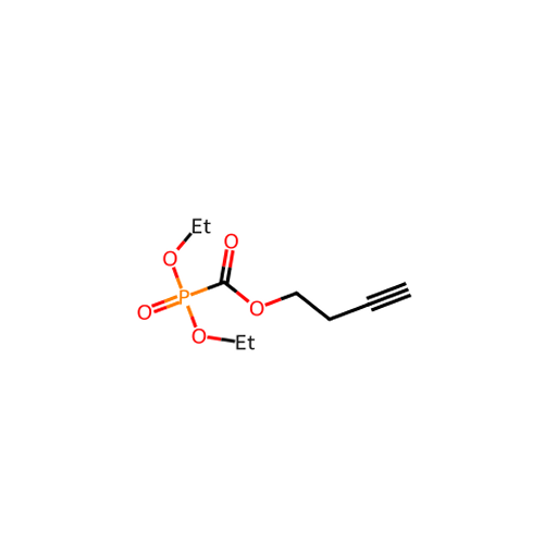 C#CCCOC(=O)P(=O)(OCC)OCC